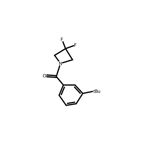 CC(C)(C)c1cccc(C(=O)N2CC(F)(F)C2)c1